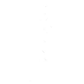 Cc1cc(OCC(O)CO)cc(C)c1C=CS(=O)(=O)N1CCC2(CC1)N=C(c1ccc3c(c1)OC(F)(F)O3)NC2=O